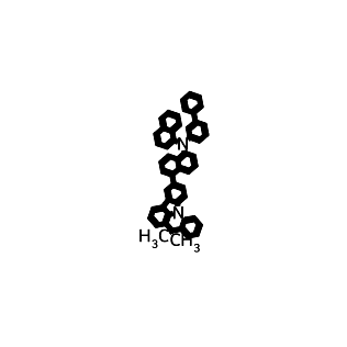 CC1(C)c2ccccc2-n2c3ccc(-c4cccc5c(N(c6cccc(-c7ccccc7)c6)c6cccc7ccccc67)cccc45)cc3c3cccc1c32